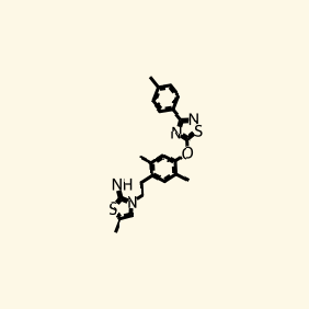 Cc1ccc(-c2nsc(Oc3cc(C)c(CCn4cc(C)sc4=N)cc3C)n2)cc1